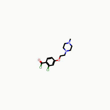 CN1CCN(CCOc2ccc(C(=O)Cl)c(Cl)c2)CC1